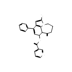 Nc1cc2c3n1CCCC(=O)C3C(NC(=O)c1cccnc1)C=C2c1ccccc1